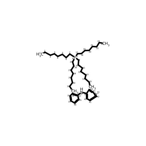 CCCCCCCC[P+](CCCCCCCC)(CCCCCCCC)CCCCCCCC.[Br-].c1ccc(Nc2ccccc2)cc1